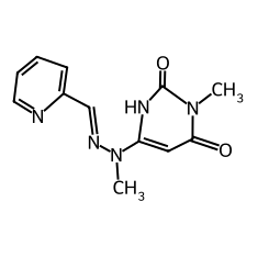 CN(N=Cc1ccccn1)c1cc(=O)n(C)c(=O)[nH]1